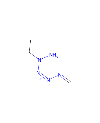 C=N/N=N\N(N)CC